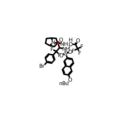 CCCCOc1ccc2cc(S(=O)(=O)NC(C(=O)N3C4CCC3CC(N)C4)C(F)(F)c3ccc(Br)cc3)ccc2c1.O=C(O)C(F)(F)F